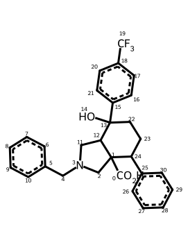 O=C(O)C12CN(Cc3ccccc3)CC1C(O)(c1ccc(C(F)(F)F)cc1)CCC2c1ccccc1